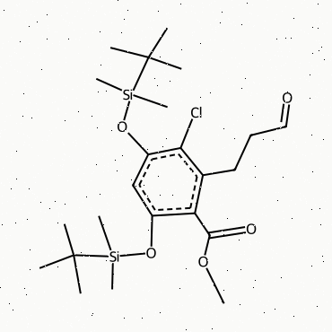 COC(=O)c1c(O[Si](C)(C)C(C)(C)C)cc(O[Si](C)(C)C(C)(C)C)c(Cl)c1CCC=O